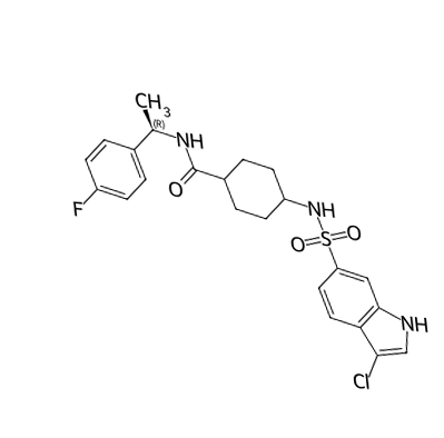 C[C@@H](NC(=O)C1CCC(NS(=O)(=O)c2ccc3c(Cl)c[nH]c3c2)CC1)c1ccc(F)cc1